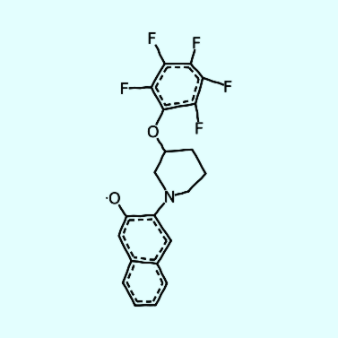 [O]c1cc2ccccc2cc1N1CCCC(Oc2c(F)c(F)c(F)c(F)c2F)C1